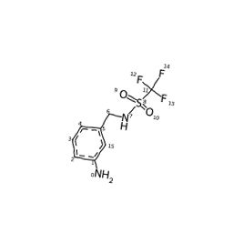 Nc1cccc(CNS(=O)(=O)C(F)(F)F)c1